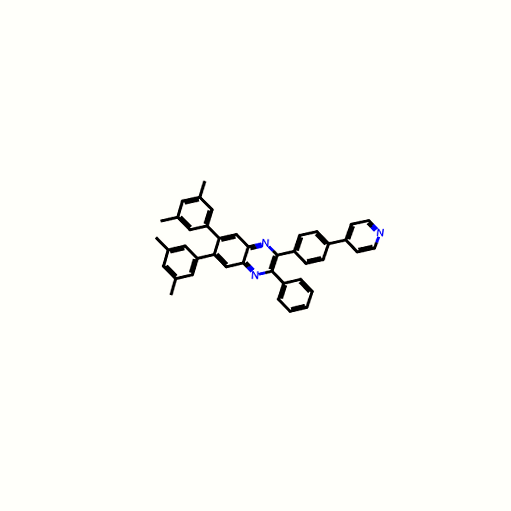 Cc1cc(C)cc(-c2cc3nc(-c4ccccc4)c(-c4ccc(-c5ccncc5)cc4)nc3cc2-c2cc(C)cc(C)c2)c1